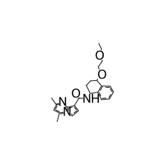 CCOCCOC1CCC(NC(=O)c2ccn3c(C)cc(C)nc23)c2ccccc21